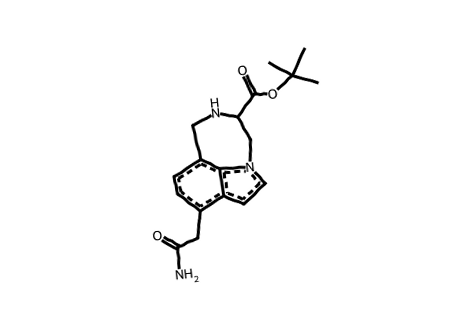 CC(C)(C)OC(=O)C1Cn2ccc3c(CC(N)=O)ccc(c32)CN1